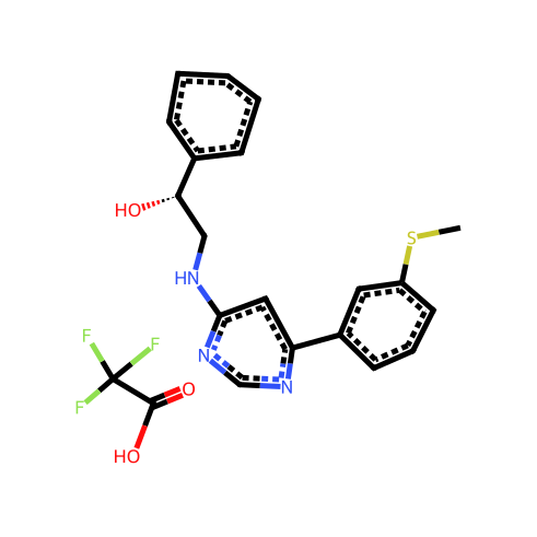 CSc1cccc(-c2cc(NC[C@H](O)c3ccccc3)ncn2)c1.O=C(O)C(F)(F)F